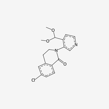 COC(OC)c1ccncc1N1CCc2cc(Cl)ccc2C1=O